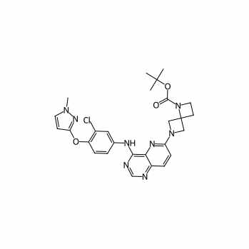 Cn1ccc(Oc2ccc(Nc3ncnc4ccc(N5CC6(CCN6C(=O)OC(C)(C)C)C5)nc34)cc2Cl)n1